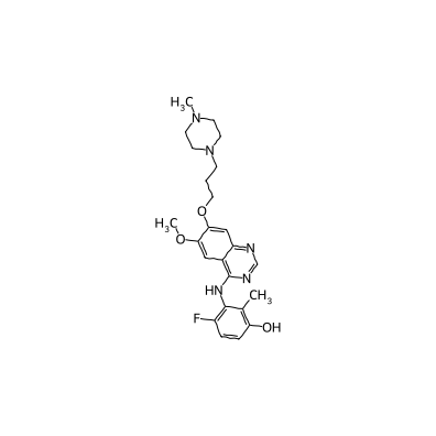 COc1cc2c(Nc3c(F)ccc(O)c3C)ncnc2cc1OCCCN1CCN(C)CC1